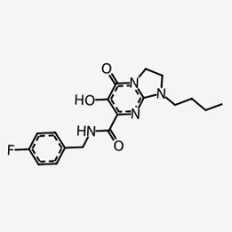 CCCCN1CCn2c1nc(C(=O)NCc1ccc(F)cc1)c(O)c2=O